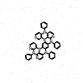 c1ccc(N2c3ccncc3B3c4cc5c(cc4N(c4ccccc4)c4nccc2c43)N(c2ccccc2)c2ccnc3c2B5c2cccnc2N3c2ccccc2)cc1